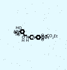 CCOC(=O)CNS(=O)(=O)c1ccc(N2CCC(NC[C@@H](O)c3ccc(O)c(NS(C)(=O)=O)c3)CC2)cc1